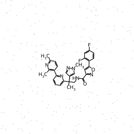 Cc1ccc(-c2cccc(C(C)(CNC(=O)c3cc(-c4ccc(F)cc4F)on3)c3cnn(C)c3)n2)c(C)n1